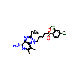 CCCCc1nc2c(N)nc(C)c(C)c2n1CCCCS(=O)(=O)c1ccc(Cl)cc1Cl